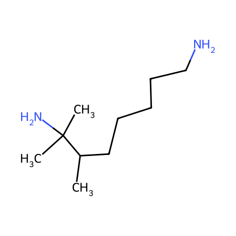 CC(CCCCCN)C(C)(C)N